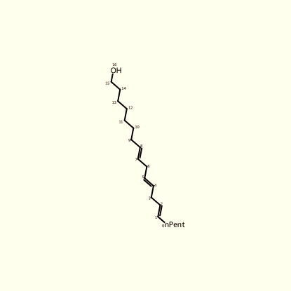 CCCCCC=CCC=CCC=CCCCCCCCO